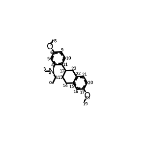 CCN(C)c1cc(OC)ccc1C1CCc2cc(OC)ccc2C1